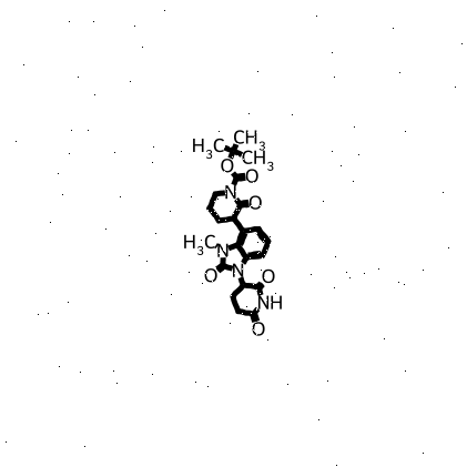 Cn1c(=O)n(C2CCC(=O)NC2=O)c2cccc(C3CCCN(C(=O)OC(C)(C)C)C3=O)c21